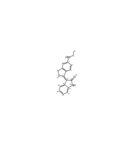 CCNc1ccc2c(c1)CO/C2=C1/C(=O)Nc2ccccc21